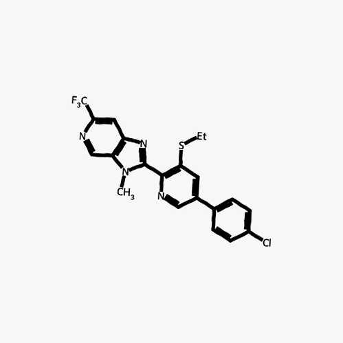 CCSc1cc(-c2ccc(Cl)cc2)cnc1-c1nc2cc(C(F)(F)F)ncc2n1C